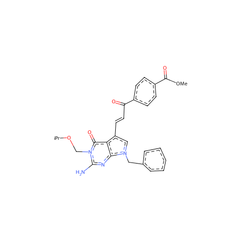 COC(=O)c1ccc(C(=O)C=Cc2cn(Cc3ccccc3)c3nc(N)n(COC(C)C)c(=O)c23)cc1